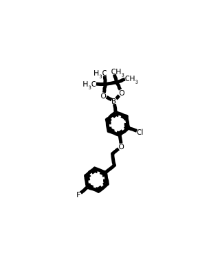 CC1(C)OB(c2ccc(OCCc3ccc(F)cc3)c(Cl)c2)OC1(C)C